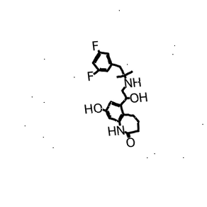 CC(C)(Cc1cc(F)cc(F)c1)NCC(O)c1cc(O)cc2c1CCCC(=O)N2